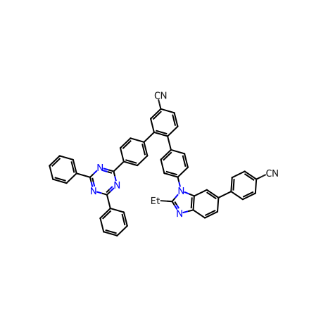 CCc1nc2ccc(-c3ccc(C#N)cc3)cc2n1-c1ccc(-c2ccc(C#N)cc2-c2ccc(-c3nc(-c4ccccc4)nc(-c4ccccc4)n3)cc2)cc1